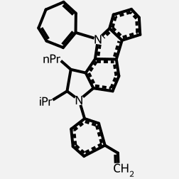 C=Cc1cccc(N2c3ccc4c5ccccc5n(C5=CC=CCC=C5)c4c3C(CCC)C2C(C)C)c1